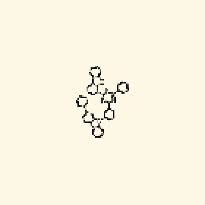 c1ccc(-c2ccc3c4ccccc4n(-c4cccc(-c5nc(-c6ccccc6)nc(-c6cccc7c6oc6ccccc67)n5)c4)c3c2)cc1